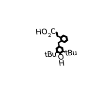 CC(C)(C)c1cc(Cc2ccccc2/C=C/C(=O)O)cc(C(C)(C)C)c1O